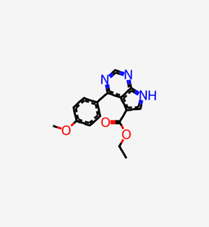 CCOC(=O)c1c[nH]c2ncnc(-c3ccc(OC)cc3)c12